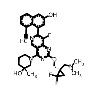 C#Cc1cccc2cc(O)cc(-c3ncc4c(N5CCC[C@@](C)(O)C5)nc(OC[C@]5(CN(C)C)CC5(F)F)nc4c3F)c12